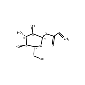 C=CC(=O)O[C@H]1O[C@H](CO)[C@@H](O)[C@H](O)[C@H]1O